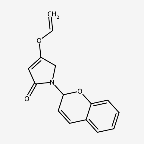 C=COC1=CC(=O)N(C2C=Cc3ccccc3O2)C1